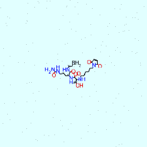 BC[C@@H](C)NC(=O)[C@H](CCCNC(N)=O)NC(=O)[C@@H](NC(=O)CCCCCN1C(=O)C=CC1=O)[C@@H](C)O